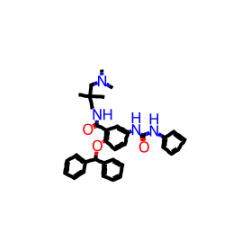 CN(C)CC(C)(C)CNC(=O)c1cc(NC(=O)Nc2ccccc2)ccc1OC(c1ccccc1)c1ccccc1